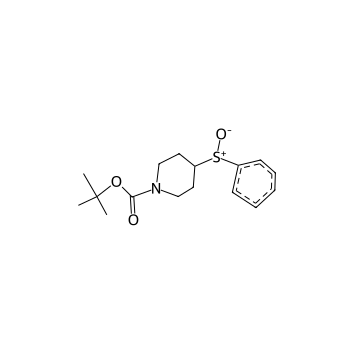 CC(C)(C)OC(=O)N1CCC([S+]([O-])c2ccccc2)CC1